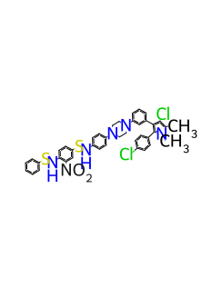 Cc1c(Cl)c(-c2cccc(N3CCN(c4ccc(NSc5ccc(NSc6ccccc6)c([N+](=O)[O-])c5)cc4)CC3)c2)c(-c2ccc(Cl)cc2)n1C